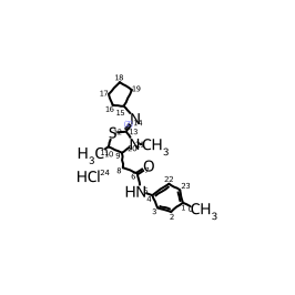 Cc1ccc(NC(=O)CC2C(C)S/C(=N\C3CCCC3)N2C)cc1.Cl